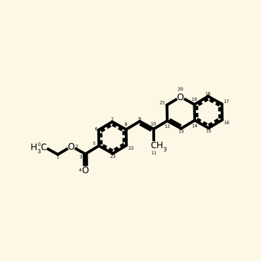 CCOC(=O)c1ccc(/C=C(\C)C2=Cc3ccccc3OC2)cc1